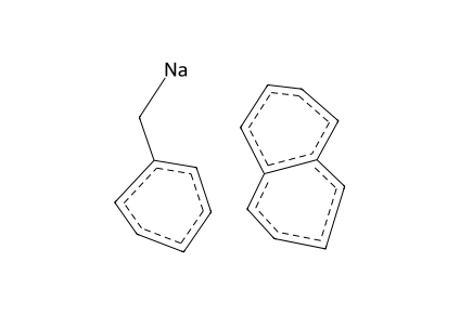 [Na][CH2]c1ccccc1.c1ccc2ccccc2c1